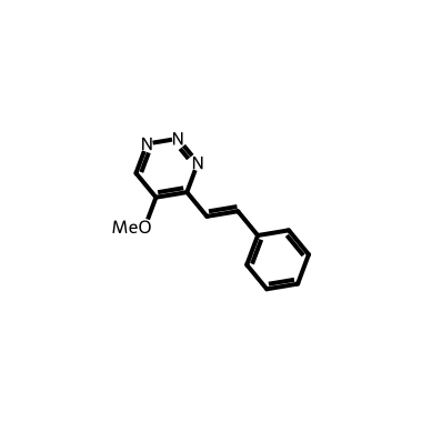 COc1cnnnc1C=Cc1ccccc1